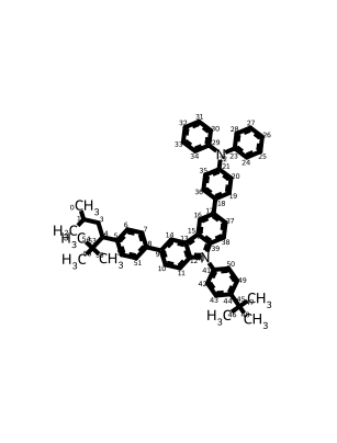 CC(C)CC(c1ccc(-c2ccc3c(c2)c2cc(-c4ccc(N(c5ccccc5)c5ccccc5)cc4)ccc2n3-c2ccc(C(C)(C)C)cc2)cc1)C(C)(C)C